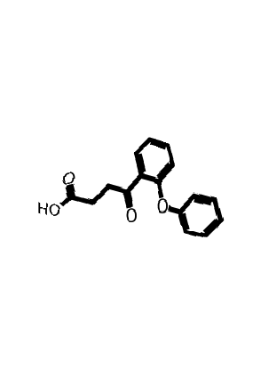 O=C(O)CCC(=O)c1ccccc1Oc1ccccc1